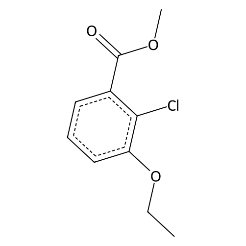 CCOc1cccc(C(=O)OC)c1Cl